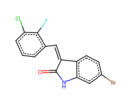 O=C1Nc2cc(Br)ccc2C1=Cc1cccc(Cl)c1F